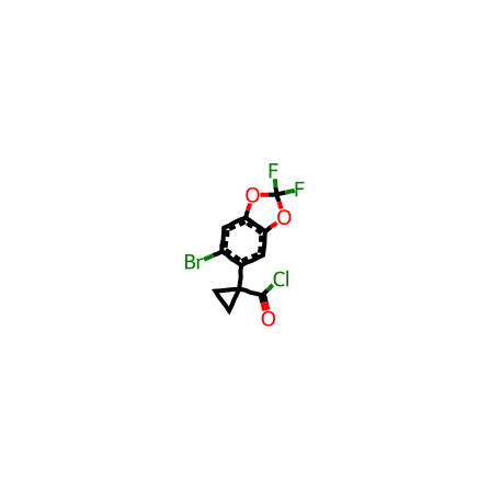 O=C(Cl)C1(c2cc3c(cc2Br)OC(F)(F)O3)CC1